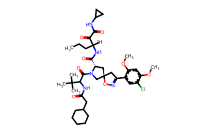 [2H]C(CCC)(NC(=O)[C@@H]1C[C@]2(CC(c3cc(Cl)c(OC)cc3OC)=NO2)CN1C(=O)C(NC(=O)CC1CCCCC1)C(C)(C)C)C(=O)C(=O)NC1CC1